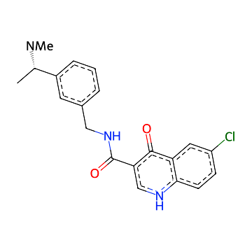 CN[C@@H](C)c1cccc(CNC(=O)c2c[nH]c3ccc(Cl)cc3c2=O)c1